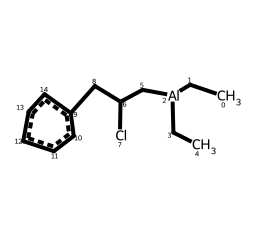 C[CH2][Al]([CH2]C)[CH2]C(Cl)Cc1ccccc1